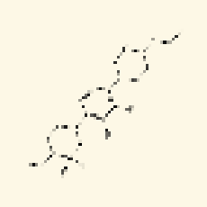 CCCC1CCC(c2ccc(C3CCC(CC)C(F)(F)C3)c(F)c2F)CO1